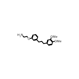 COc1ccc(CCCc2cccc(OCCN)c2)cc1OC